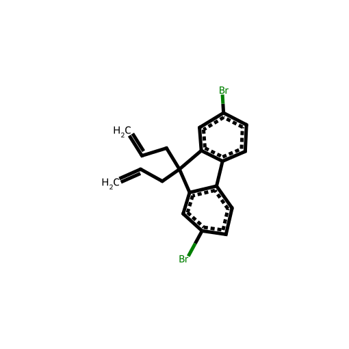 C=CCC1(CC=C)c2cc(Br)ccc2-c2ccc(Br)cc21